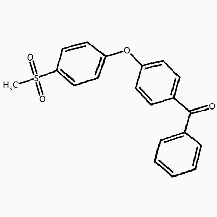 CS(=O)(=O)c1ccc(Oc2ccc(C(=O)c3ccccc3)cc2)cc1